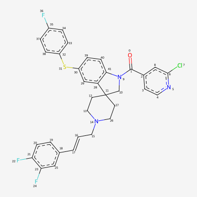 O=C(c1ccnc(Cl)c1)N1CC2(CCN(CC=Cc3ccc(F)c(F)c3)CC2)c2cc(Sc3ccc(F)cc3)ccc21